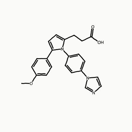 COc1ccc(-c2ccc(CCC(=O)O)n2-c2ccc(-n3ccnc3)cc2)cc1